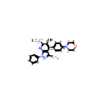 Cc1c(C(=O)O)nc2c(c(C)nn2-c2ccccc2)c1-c1ccc(N2CCOCC2)cc1